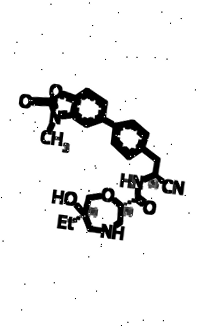 CC[C@@]1(O)CNC[C@@H](C(=O)N[C@H](C#N)Cc2ccc(-c3ccc4oc(=O)n(C)c4c3)cc2)OC1